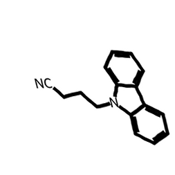 N#CCCCn1c2ccccc2c2ccccc21